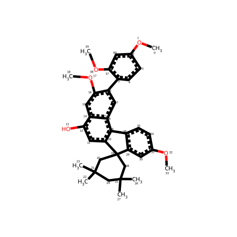 COc1ccc(-c2cc3c4c(cc(O)c3cc2OC)C2(CC(C)(C)CC(C)(C)C2)c2cc(OC)ccc2-4)c(OC)c1